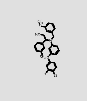 CCc1cc(Oc2cccc(N(Cc3cccc(SC(F)(F)F)c3)C(CO)c3cccc(C(F)(F)F)c3)c2)ccc1Cl